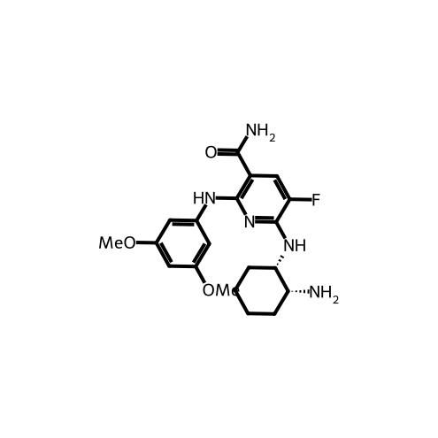 COc1cc(Nc2nc(N[C@H]3CCCC[C@H]3N)c(F)cc2C(N)=O)cc(OC)c1